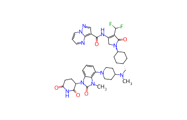 CN(C[C@H]1CC[C@H](N2CC(NC(=O)c3cnn4cccnc34)=C(C(F)F)C2=O)CC1)C1CCN(c2cccc3c2n(C)c(=O)n3C2CCC(=O)NC2=O)CC1